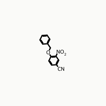 N#Cc1ccc(OCc2ccccc2)c([N+](=O)[O-])c1